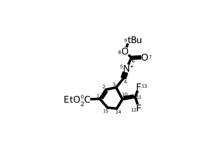 CCOC(=O)C1=CC(C#[N+]C(=O)OC(C)(C)C)C(=C(F)F)CC1